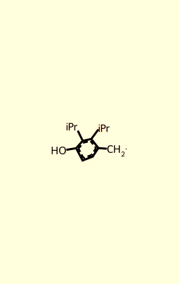 [CH2]c1ccc(O)c(C(C)C)c1C(C)C